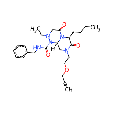 C#CCOCCN1C[C@H]2N(C(=O)CN(CC)N2C(=O)NCc2ccccc2)[C@@H](CCCC)C1=O